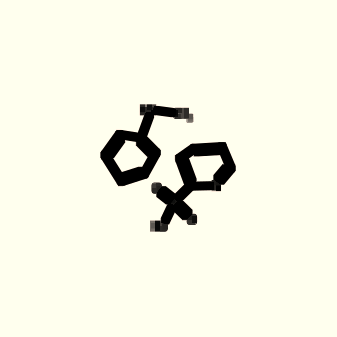 CNc1ccccc1.O=S(=O)(O)c1ccccn1